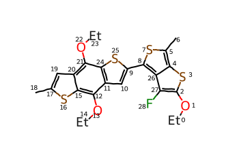 CCOc1sc2c(C)sc(-c3cc4c(OCC)c5sc(C)cc5c(OCC)c4s3)c2c1F